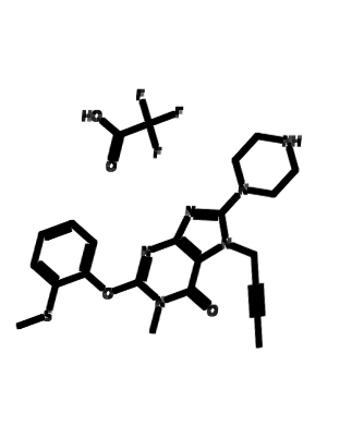 CC#CCn1c(N2CCNCC2)nc2nc(Oc3ccccc3SC)n(C)c(=O)c21.O=C(O)C(F)(F)F